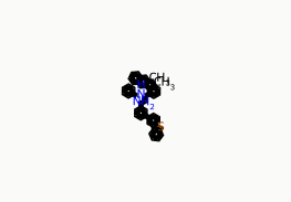 CC1(C)c2cc3ccccc3cc2-c2c(/C(=C/Cc3cccc(-c4ccc5sc6ccccc6c5c4)c3)NC(N)c3ccccc3)cccc21